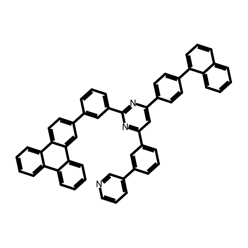 c1cncc(-c2cccc(-c3cc(-c4ccc(-c5cccc6ccccc56)cc4)nc(-c4cccc(-c5ccc6c7ccccc7c7ccccc7c6c5)c4)n3)c2)c1